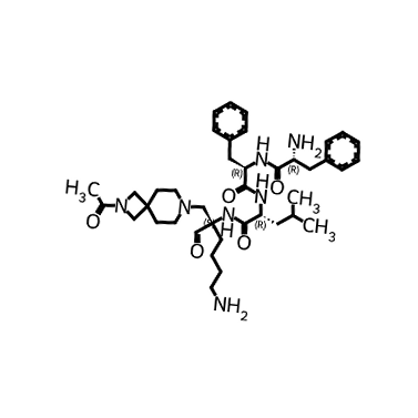 CC(=O)N1CC2(CCN(C[C@](C=O)(CCCCN)NC(=O)[C@@H](CC(C)C)NC(=O)[C@@H](Cc3ccccc3)NC(=O)[C@H](N)Cc3ccccc3)CC2)C1